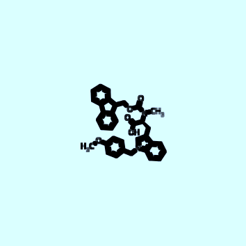 COc1ccc(Cn2cc(C[C@@H](C(=O)O)N(C)C(=O)OCC3c4ccccc4-c4ccccc43)c3ccccc32)cc1